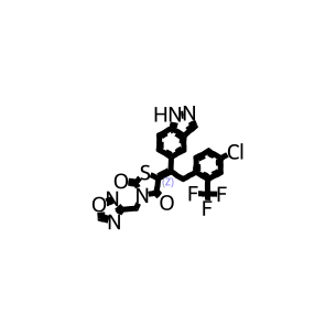 O=C1S/C(=C(/Cc2ccc(Cl)cc2C(F)(F)F)c2ccc3[nH]ncc3c2)C(=O)N1Cc1ncon1